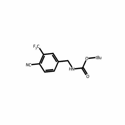 CC(C)(C)OC(=O)NCc1ccc(C#N)c(C(F)(F)F)c1